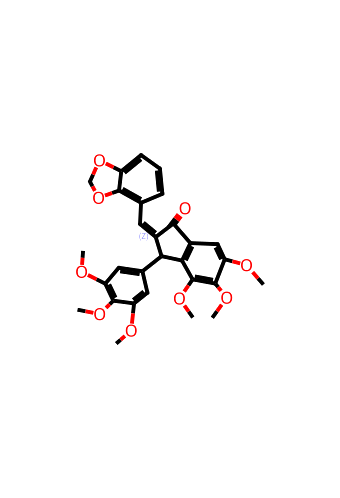 COc1cc(C2/C(=C/c3cccc4c3OCO4)C(=O)c3cc(OC)c(OC)c(OC)c32)cc(OC)c1OC